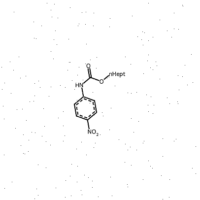 CCCCCCCOC(=O)Nc1ccc([N+](=O)[O-])cc1